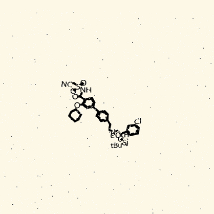 CC(C)(C)[Si](C)(C)O[C@H](CN(CCc1ccc(-c2ccc(C(=O)NS(=O)(=O)CC#N)c(OC3CCCCC3)c2)cc1)C(=O)O)c1cccc(Cl)c1